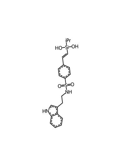 CC(C)[Si](O)(O)/C=C/c1ccc(S(=O)(=O)NCCc2c[nH]c3ccccc23)cc1